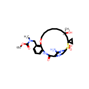 CN(Cc1cccc2c1OCCCCCC[C@@](C)(O)CC1(CC1)S(=O)(=O)C1CN=C(C(=O)N2)C(N)=N1)C(=O)OC(C)(C)C